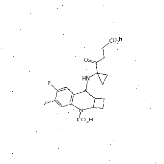 O=C(O)CCC(=O)C1(NC2c3cc(F)c(F)cc3N(C(=O)O)C3CCC23)CC1